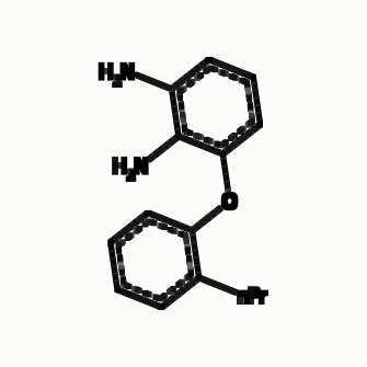 CCCc1ccccc1Oc1cccc(N)c1N